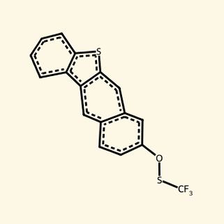 FC(F)(F)SOc1ccc2cc3c(cc2c1)sc1ccccc13